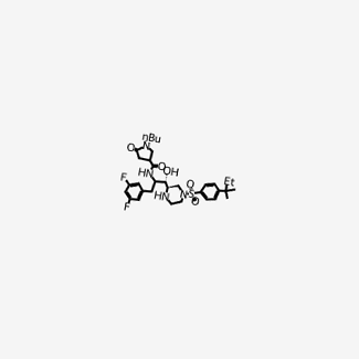 CCCCN1CC(C(=O)NC(Cc2cc(F)cc(F)c2)[C@H](O)[C@H]2CN(S(=O)(=O)c3ccc(C(C)(C)CC)cc3)CCN2)CC1=O